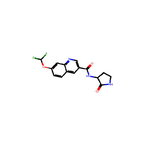 O=C(NC1CCNC1=O)c1cnc2cc(OC(F)F)ccc2c1